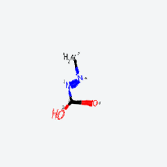 O=C(O)N=[N][AlH2]